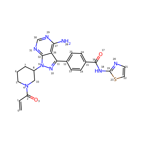 C=CC(=O)N1CCCC(n2nc(-c3ccc(C(=O)Nc4nccs4)cc3)c3c(N)ncnc32)C1